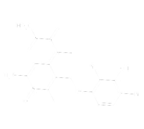 BC1=C/C(=C(/C)C(=C)C(=C)C(=O)O)C(COc2ccc(Br)c(O)c2Br)=C(C)C1=O